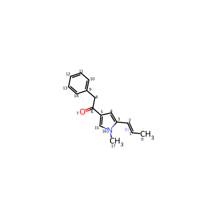 C/C=C/c1cc(C(=O)Cc2ccccc2)cn1C